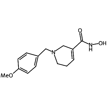 COc1ccc(CN2CCC=C(C(=O)NO)C2)cc1